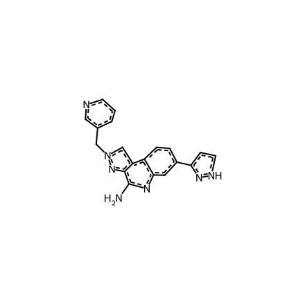 Nc1nc2cc(-c3cc[nH]n3)ccc2c2cn(Cc3cccnc3)nc12